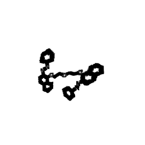 c1ccc(N=Nc2ccc3ccccc3c2OCCOCCOc2c(N=Nc3ccccc3)ccc3ccccc23)cc1